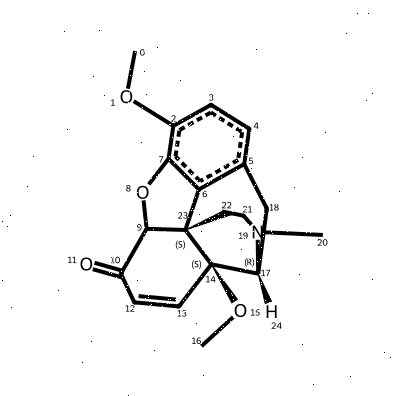 COc1ccc2c3c1OC1C(=O)C=C[C@@]4(OC)[C@@H](C2)N(C)CC[C@]314